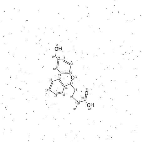 CN(CCC(Oc1ccc(CO)cc1)c1ccccc1)C(=O)O